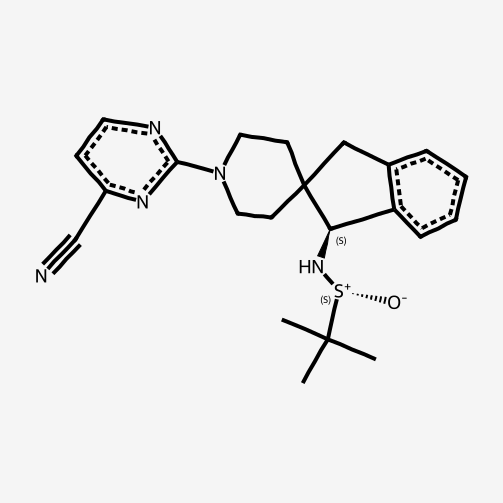 CC(C)(C)[S@@+]([O-])N[C@@H]1c2ccccc2CC12CCN(c1nccc(C#N)n1)CC2